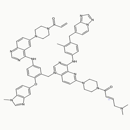 C=CC(=O)N1CCN(c2ccc3ncnc(Nc4ccc(Oc5ccc6c(c5)ncn6C)c(C[n+]5cnc(Nc6ccc(Cc7ccn8ncnc8c7)c(C)c6)c6nc(N7CCN(C(=O)/C=C/CN(C)C)CC7)ccc65)c4)c3c2)CC1